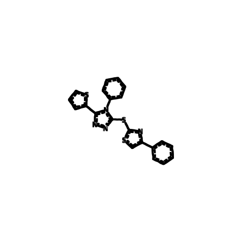 c1ccc(-c2csc(Sc3nnc(-c4cccs4)n3-c3ccccc3)n2)cc1